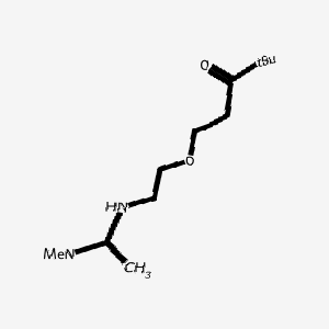 CNC(C)NCCOCCC(=O)C(C)(C)C